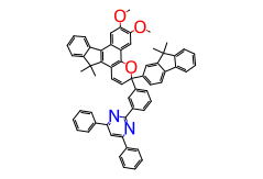 COc1cc2c3c(c4c(c2cc1OC)-c1ccccc1C4(C)C)C=CC(c1cccc(-c2nc(-c4ccccc4)cc(-c4ccccc4)n2)c1)(c1ccc2c(c1)C(C)(C)c1ccccc1-2)O3